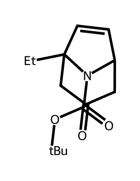 CCC12C=CC(CC(=O)C1)N2C(=O)OC(C)(C)C